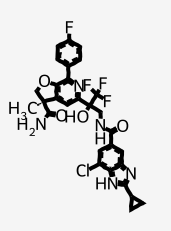 C[C@]1(C(N)=O)COc2c1cc(C(O)(CNC(=O)c1cc(Cl)c3[nH]c(C4CC4)nc3c1)C(F)(F)F)nc2-c1ccc(F)cc1